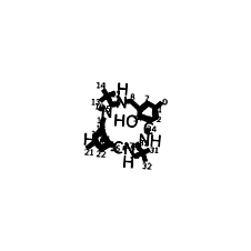 Cc1cc2c(O)c(c1)CNC(C(C)(C)C)N(C)Cc1cc(C)cc(c1O)CNC(C(C)(C)C)NC2